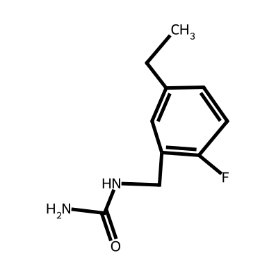 CCc1ccc(F)c(CNC(N)=O)c1